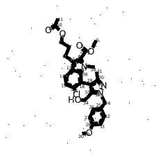 COC(=O)c1c(CCCOC(C)=O)c2ccc(Cl)c(-c3c(C)nn(Cc4ccc(OC)cc4)c3CO)c2n1C